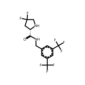 O=C(NCc1cc(C(F)(F)F)cc(C(F)(F)F)c1)[C@@H]1CC(F)(F)CN1